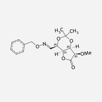 CO[C@H]1C(=O)O[C@@H]2[C@H]1OC(C)(C)O[C@@H]2C=NOCc1ccccc1